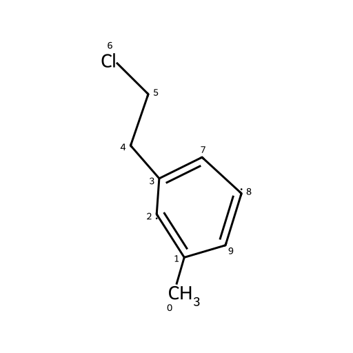 Cc1[c]c(CCCl)c[c]c1